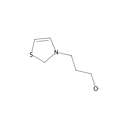 [O]CCCN1C=CSC1